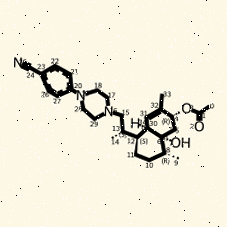 CC(=O)O[C@@H]1[C][C@@]2(O)[C@H](C)CC[C@@H]([C@H](C)CN3CCN(c4ccc(C#N)cc4)CC3)[C@H]2C=C1C